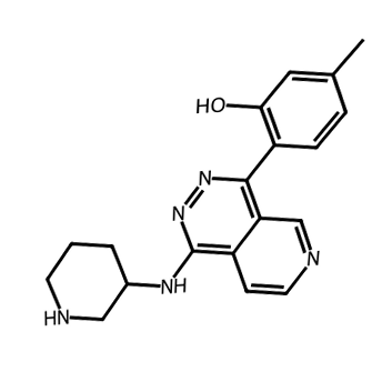 Cc1ccc(-c2nnc(NC3CCCNC3)c3ccncc23)c(O)c1